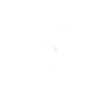 [O-][S+](c1ccccc1)c1nc(-c2ccccc2)c(-c2ccccc2)o1